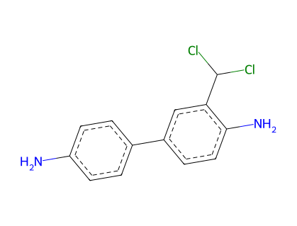 Nc1ccc(-c2ccc(N)c(C(Cl)Cl)c2)cc1